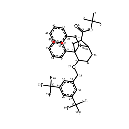 CC(C)(C)OC(=O)C1CC2(c3ccccc3)C(OCc3cc(C(F)(F)F)cc(C(F)(F)F)c3)CCC1N2Cc1ccccc1